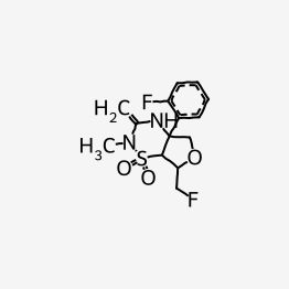 C=C1NC2(c3ccccc3F)COC(CF)C2S(=O)(=O)N1C